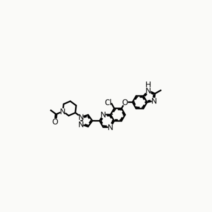 CC(=O)N1CCCC(n2cc(-c3cnc4ccc(Oc5ccc6nc(C)[nH]c6c5)c(Cl)c4n3)cn2)C1